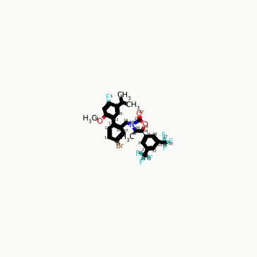 COc1cc(F)c(C(C)C)cc1-c1ccc(Br)cc1CN1C(=O)O[C@H](c2cc(C(F)(F)F)cc(C(F)(F)F)c2)[C@H]1C